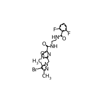 Cc1nn(Cc2noc(C(=O)NCCNC(=O)c3c(F)cccc3F)n2)c(C)c1Br